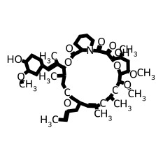 CC=CCC1C=C(C)CC(C)CC(OC)C2OC(O)(C(=O)C(=O)N3CCCCC3C(=O)OC(C(C)=CC3CCC(O)C(OC)C3)C(C)CCC1=O)C(C)CC2OC